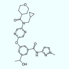 CC(O)c1cc(Oc2cnc(N(CC3CC3)C(=O)C3CCOCC3)cn2)cc(C(=O)Nc2ccn(C)n2)c1